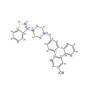 N#Cc1cnc(-c2ccc(CN3CCN(c4nsc5ccccc45)CC3)cc2)c(-c2ccccc2)c1